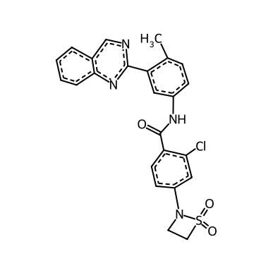 Cc1ccc(NC(=O)c2ccc(N3CCS3(=O)=O)cc2Cl)cc1-c1ncc2ccccc2n1